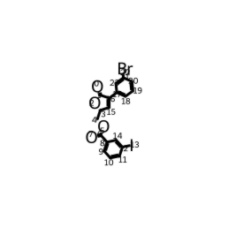 O=C1OC(COC(=O)c2cccc(I)c2)C=C1c1cccc(Br)c1